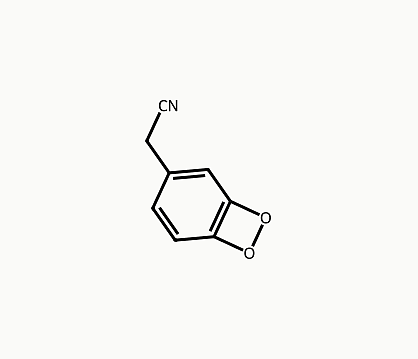 N#CCc1ccc2ooc2c1